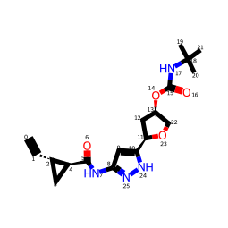 C#C[C@H]1C[C@@H]1C(=O)Nc1cc([C@H]2C[C@@H](OC(=O)NC(C)(C)C)CO2)[nH]n1